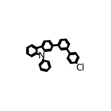 Clc1ccc(-c2cccc(-c3ccc4c5ccccc5n(-c5ccccc5)c4c3)c2)cc1